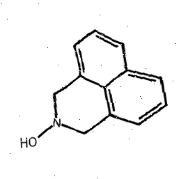 ON1Cc2cccc3cccc(c23)C1